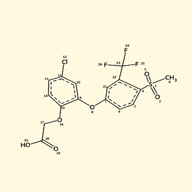 CS(=O)(=O)c1ccc(Oc2cc(Cl)ccc2OCC(=O)O)cc1C(F)(F)F